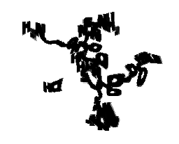 Cl.Cn1nnnc1SCC1=C(C(=O)OCOC(=O)C(C)(C)C)N2C(=O)C(NC(=O)C(=NOCCCN)c3nsc(N)n3)[C@@H]2SC1